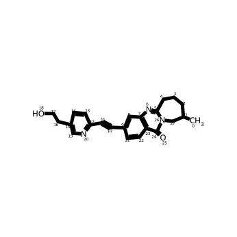 CC1CCCc2nc3cc(C#Cc4ccc(CCO)cn4)ccc3c(=O)n2C1